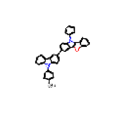 CC(C)(C)c1ccc(-n2c3ccccc3c3cc(-c4ccc5c(c4)c4oc6ccccc6c4n5-c4ccccc4)ccc32)cc1